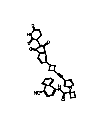 N#Cc1ccc(NC(=O)C2(n3cc(C#CC4CN(c5ccc6c(c5)C(=O)N(C5CCC(=O)NC5=O)C6=O)C4)cn3)CCC2)c2ccccc12